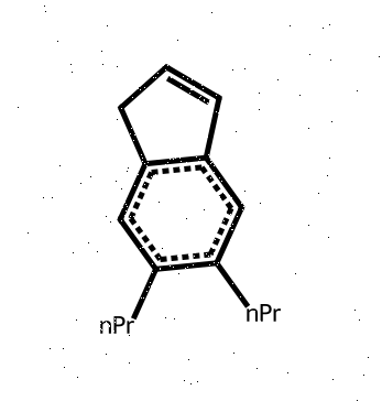 CCCc1cc2c(cc1CCC)CC=C2